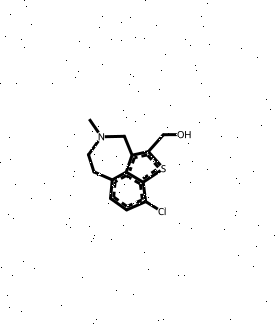 CN1CCc2ccc(Cl)c3sc(CO)c(c23)C1